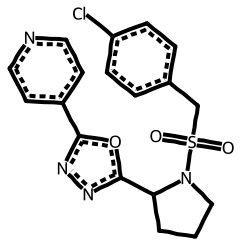 O=S(=O)(Cc1ccc(Cl)cc1)N1CCCC1c1nnc(-c2ccncc2)o1